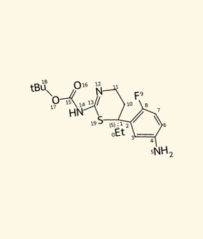 CC[C@@]1(c2cc(N)ccc2F)CCN=C(NC(=O)OC(C)(C)C)S1